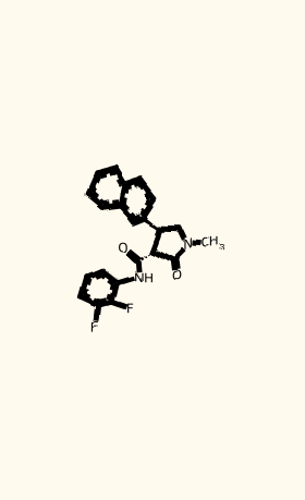 CN1C[C@H](c2ccc3ccccc3c2)[C@@H](C(=O)Nc2cccc(F)c2F)C1=O